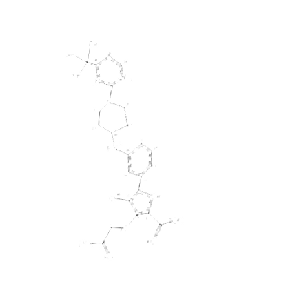 O=C(O)COc1c(C(=O)O)sc(-c2cccc(NC3CCN(c4nccc(C(F)(F)F)n4)CC3)c2)c1Cl